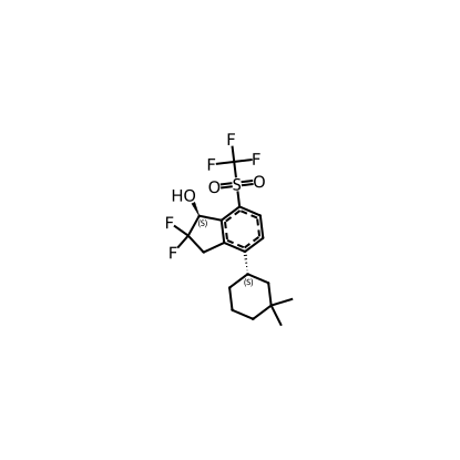 CC1(C)CCC[C@H](c2ccc(S(=O)(=O)C(F)(F)F)c3c2CC(F)(F)[C@H]3O)C1